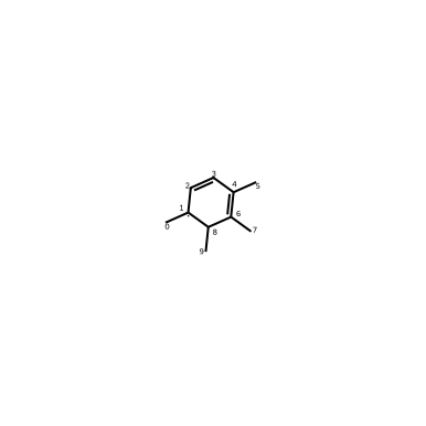 C[C]1C=CC(C)=C(C)C1C